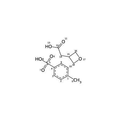 Cc1ccc(S(=O)(=O)O)cc1.O=C(O)CC1COC1